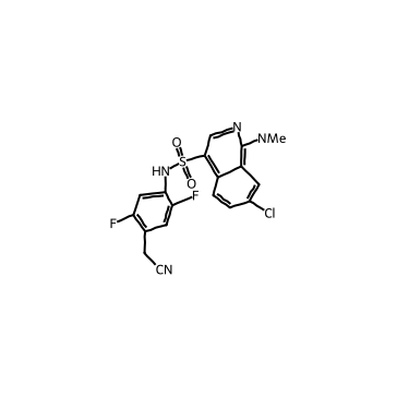 CNc1ncc(S(=O)(=O)Nc2cc(F)c(CC#N)cc2F)c2ccc(Cl)cc12